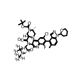 [2H]C([2H])([2H])N(C[C@@H]1CN2C(=C=O)[C@H]3CN(C(=O)OC(C)(C)C)[C@H](C)CN3c3c2c(nc2c(F)c(-c4c(C)ccc5c4cnn5C4CCCCO4)c(Cl)cc32)O1)C([2H])([2H])[2H]